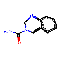 NC(=O)N1C=c2ccccc2=NC1